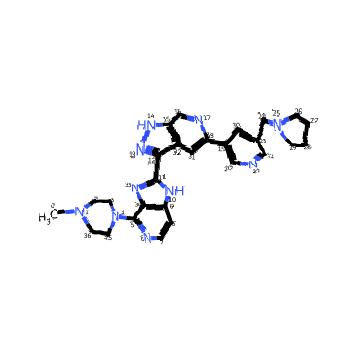 CN1CCN(c2nccc3[nH]c(-c4n[nH]c5cnc(-c6cncc(CN7CCCC7)c6)cc45)nc23)CC1